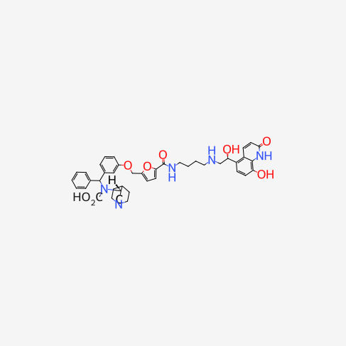 O=C(NCCCCNC[C@@H](O)c1ccc(O)c2[nH]c(=O)ccc12)c1ccc(COc2cccc(C(c3ccccc3)N(C(=O)O)[C@H]3CN4CCC3CC4)c2)o1